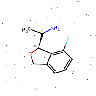 CC(N)[C@@H]1OCc2cccc(F)c21